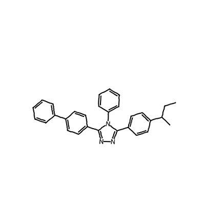 CCC(C)c1ccc(-c2nnc(-c3ccc(-c4ccccc4)cc3)n2-c2ccccc2)cc1